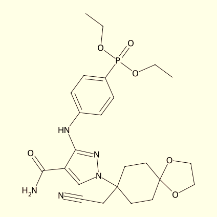 CCOP(=O)(OCC)c1ccc(Nc2nn(C3(CC#N)CCC4(CC3)OCCO4)cc2C(N)=O)cc1